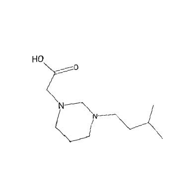 CC(C)CCN1CCCN(CC(=O)O)C1